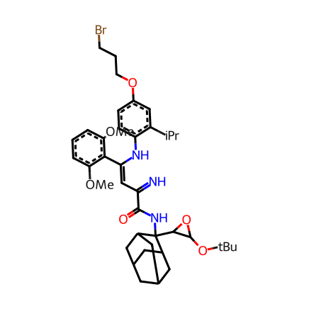 COc1cccc(OC)c1/C(=C/C(=N)C(=O)NC1(C2OC2OC(C)(C)C)C2CC3CC(C2)CC1C3)Nc1ccc(OCCCBr)cc1C(C)C